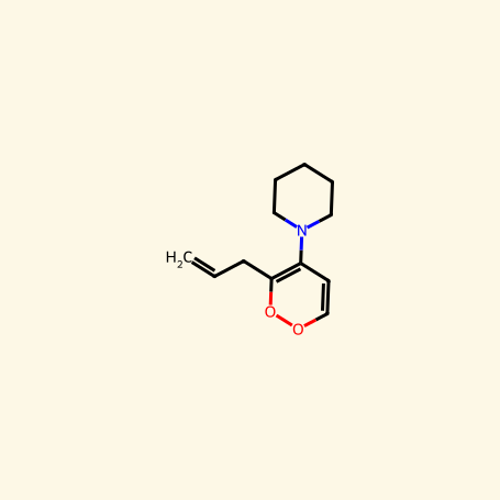 C=CCC1=C(N2CCCCC2)C=COO1